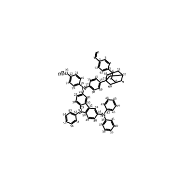 C=Cc1ccc(C23CC4CC(C2)CC(c2ccc(N(c5ccc(CCCC)cc5)c5ccc6c(c5)c5cc(N(c7ccccc7)c7ccccc7)ccc5n6-c5ccccc5)cc2)(C4)C3)cc1